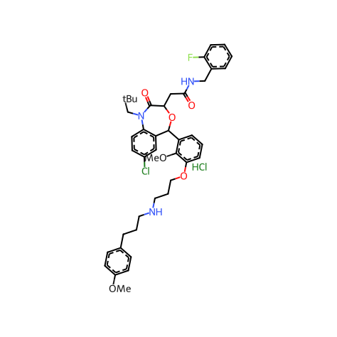 COc1ccc(CCCNCCCOc2cccc(C3OC(CC(=O)NCc4ccccc4F)C(=O)N(CC(C)(C)C)c4ccc(Cl)cc43)c2OC)cc1.Cl